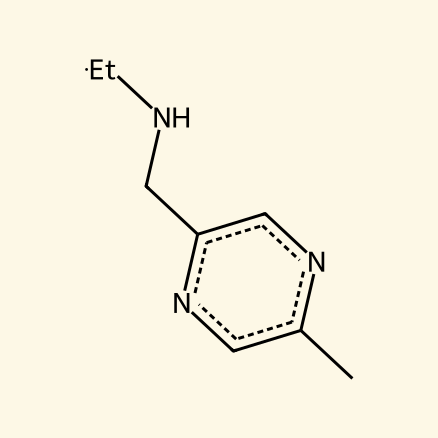 C[CH]NCc1cnc(C)cn1